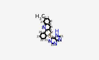 Cc1ccc2cc(CSc3ncnc4nc[nH]c34)c(-c3ccccc3)nc2c1